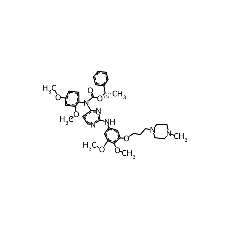 COc1ccc(N(C(=O)O[C@@H](C)c2ccccc2)c2ccnc(Nc3cc(OC)c(OC)c(OCCCN4CCN(C)CC4)c3)n2)c(OC)c1